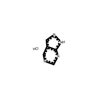 Cl.c1ncc2cn[nH]c2n1